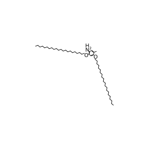 CCCCCCCCCCCCCCCCCCCCCCOc1cc(OCCCCCCCCCCCCCCCCCCCCCC)c(N)cc1C